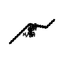 CCCCCCC/C=C\CCCCCCCC(=O)O[C@H](CO/C=C\CCCCCCCCCCCCCCCCCC)COP(=O)(O)OC[C@H](N)C(=O)O